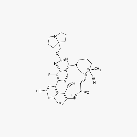 C#Cc1c(F)ccc2cc(O)cc(-c3ncc4c(N5CCC[C@](C)(C#N)[C@H](C=CC(N)=O)C5)nc(OCC56CCCN5CCC6)nc4c3F)c12